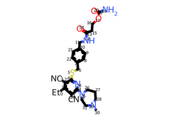 CCc1c(C#N)c(SCc2ccc(CNC(=O)CCOC(N)=O)cc2)nc(N2CCCN(C)CC2)c1C#N